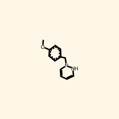 COc1ccc(CN2C=CC=CN2)cc1